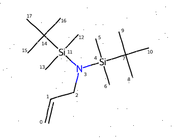 C=CCN([Si](C)(C)C(C)(C)C)[Si](C)(C)C(C)(C)C